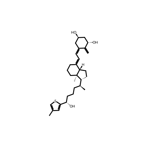 C=C1/C(=C\C=C2/CCC[C@]3(C)[C@@H]([C@@H](C)CCC[C@H](O)c4cc(C)cs4)CC[C@@H]23)C[C@@H](O)C[C@@H]1O